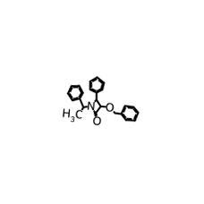 CC(c1ccccc1)N1C(=O)C(OCc2ccccc2)C1c1ccccc1